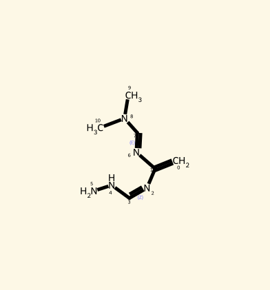 C=C(/N=C\NN)/N=C/N(C)C